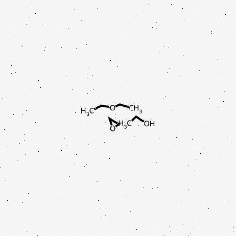 C1CO1.CCO.CCOCC